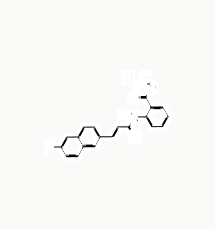 COC(=O)c1ccccc1NC(=O)/C=C/c1ccc2cc(F)ccc2c1